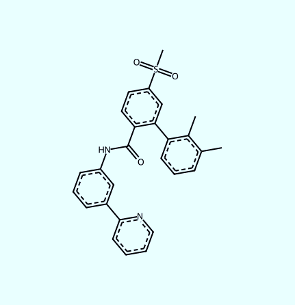 Cc1cccc(-c2cc(S(C)(=O)=O)ccc2C(=O)Nc2cccc(-c3ccccn3)c2)c1C